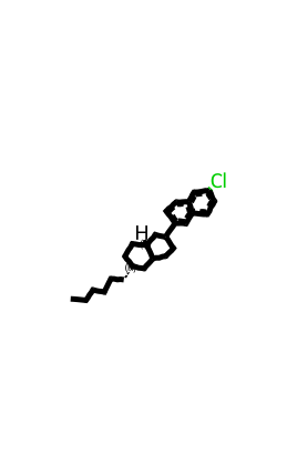 CCCCCC[C@@H]1CC[C@@H]2CC(c3ccc4cc(Cl)ccc4c3)CCC2C1